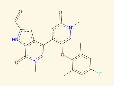 Cc1cc(F)cc(C)c1Oc1cn(C)c(=O)cc1-c1cn(C)c(=O)c2[nH]c(C=O)cc12